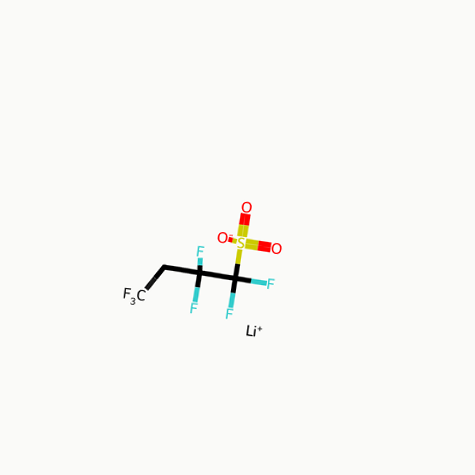 O=S(=O)([O-])C(F)(F)C(F)(F)CC(F)(F)F.[Li+]